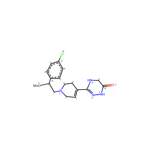 COC(CN1CC=C(C2=NNC(=O)CN2)CC1)c1ccc(Cl)cc1